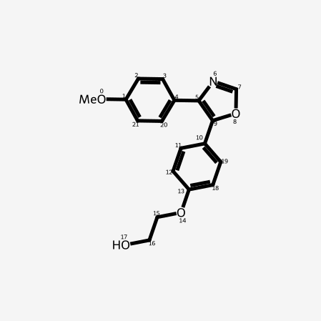 COc1ccc(-c2ncoc2-c2ccc(OCCO)cc2)cc1